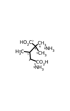 CC(CC(=O)O)C(C)(C)C(=O)O.N.N